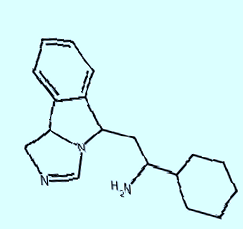 NC(CC1c2ccccc2C2CN=CN21)C1CCCCC1